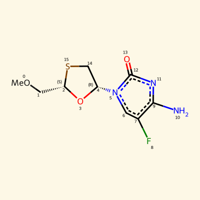 COC[C@H]1O[C@@H](n2cc(F)c(N)nc2=O)CS1